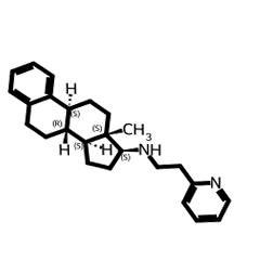 C[C@]12CC[C@@H]3c4ccccc4CC[C@H]3[C@@H]1CC[C@@H]2NCCc1ccccn1